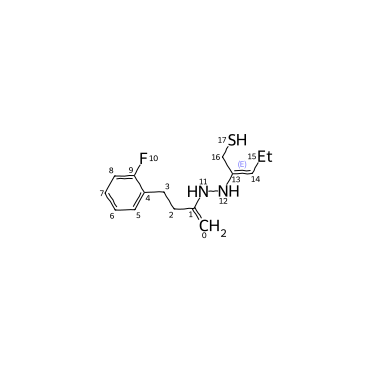 C=C(CCc1ccccc1F)NN/C(=C/CC)CS